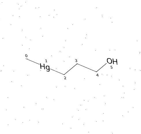 [CH3][Hg][CH2]CCO